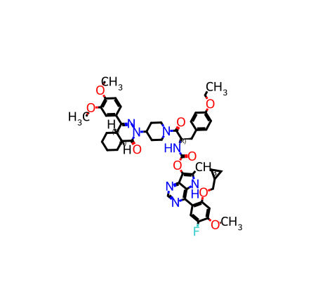 CCOc1ccc(C[C@@H](NC(=O)Oc2c(C)[nH]c3c(-c4cc(F)c(OC)cc4OCC4CC4)ncnc23)C(=O)N2CCC(N3N=C(c4ccc(OC)c(OC)c4)[C@H]4CCCC[C@H]4C3=O)CC2)cc1